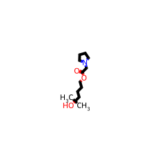 CC(C)(O)CCCCOC(=O)CN1CCCC1